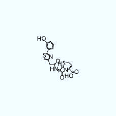 O=C(Cc1csc(-c2cccc(O)c2)n1)N[C@@H]1C(=O)N2C(C(=O)O)=CCS[C@H]12